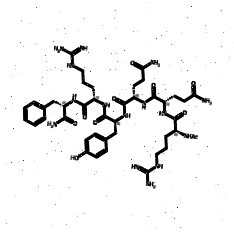 CC(=O)N[C@@H](CCCNC(=N)N)C(=O)N[C@@H](CCC(N)=O)C(=O)N[C@@H](CCC(N)=O)C(=O)N[C@@H](Cc1ccc(O)cc1)C(=O)N[C@@H](CCCNC(=N)N)C(=O)N[C@@H](Cc1ccccc1)C(N)=O